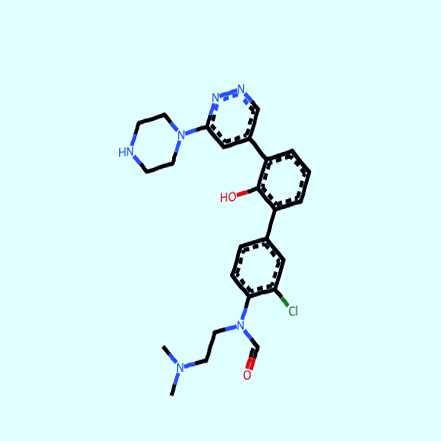 CN(C)CCN(C=O)c1ccc(-c2cccc(-c3cnnc(N4CCNCC4)c3)c2O)cc1Cl